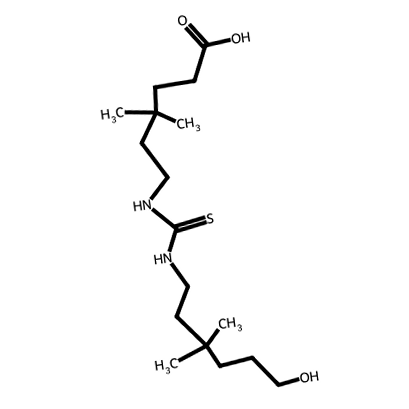 CC(C)(CCCO)CCNC(=S)NCCC(C)(C)CCC(=O)O